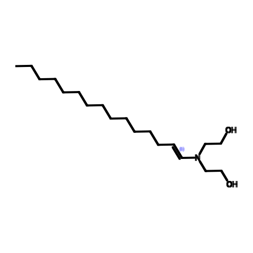 CCCCCCCCCCCCC/C=C/N(CCO)CCO